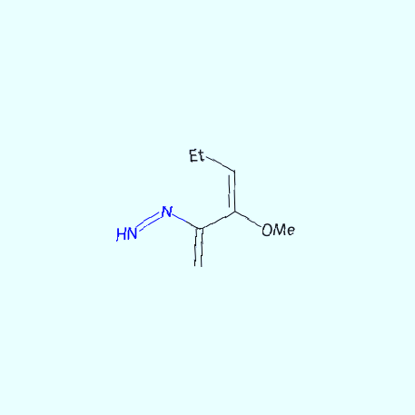 C=C(N=N)/C(=C\CC)OC